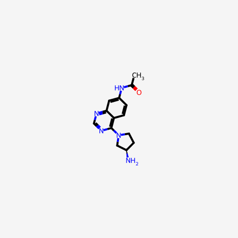 CC(=O)Nc1ccc2c(N3CC[C@@H](N)C3)ncnc2c1